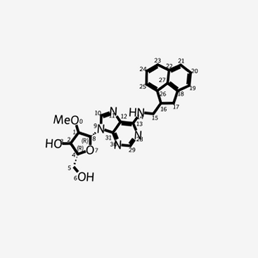 COC1C(O)[C@@H](CO)O[C@H]1n1cnc2c(NCC3Cc4cccc5cccc3c45)ncnc21